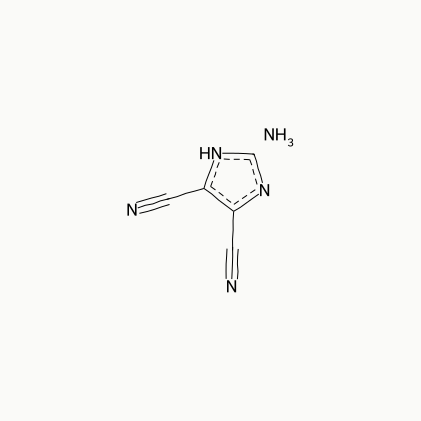 N.N#Cc1nc[nH]c1C#N